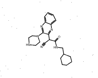 N#CC(C(=O)NCC1CCCCC1)c1nc2ccccc2nc1N1CCNCC1